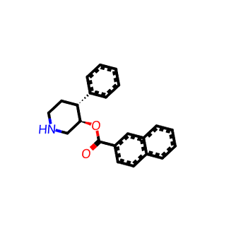 O=C(O[C@H]1CNCC[C@@H]1c1ccccc1)c1ccc2ccccc2c1